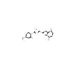 Cc1ccc(C)c2oc(-c3nc(-c4ccc(C(O)O)cc4Cl)no3)cc12